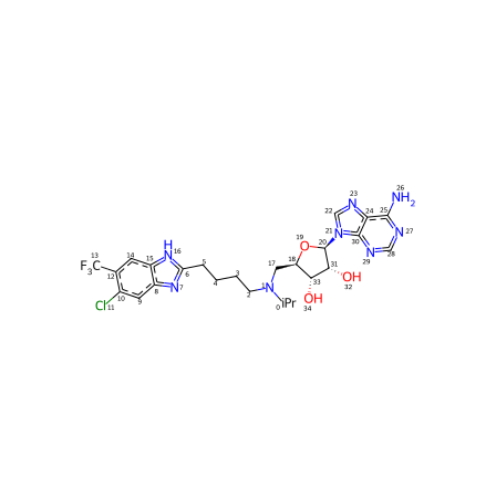 CC(C)N(CCCCc1nc2cc(Cl)c(C(F)(F)F)cc2[nH]1)C[C@H]1O[C@@H](n2cnc3c(N)ncnc32)[C@H](O)[C@@H]1O